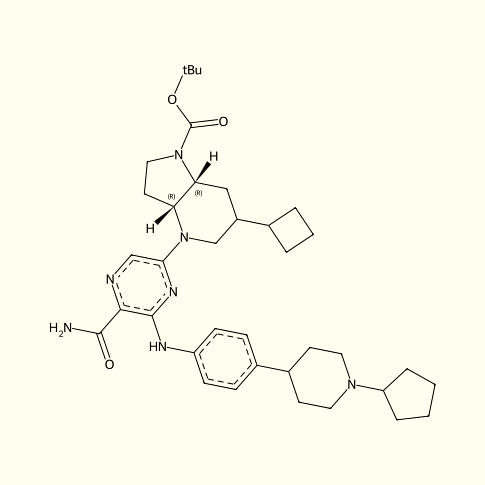 CC(C)(C)OC(=O)N1CC[C@@H]2[C@H]1CC(C1CCC1)CN2c1cnc(C(N)=O)c(Nc2ccc(C3CCN(C4CCCC4)CC3)cc2)n1